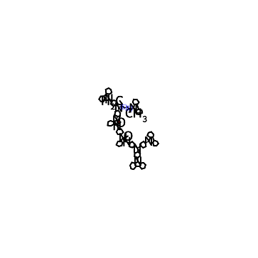 C=C/C(=C\C=C(/C)n1c2ccccc2c2ccccc21)N(c1ccc(-n2c(=O)n(-c3ccc(-n4c(=O)n(-c5ccc(N(c6ccc(-n7c8ccccc8c8ccccc87)cc6)c6ccc(-n7c8ccccc8c8ccccc87)cc6)cc5)c5ccccc54)cc3)c3ccccc32)cc1)c1ccc(-n2c3ccccc3c3ccccc32)cc1